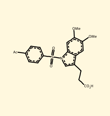 COc1cc2c(CCC(=O)O)cn(S(=O)(=O)c3ccc(C(C)=O)cc3)c2cc1OC